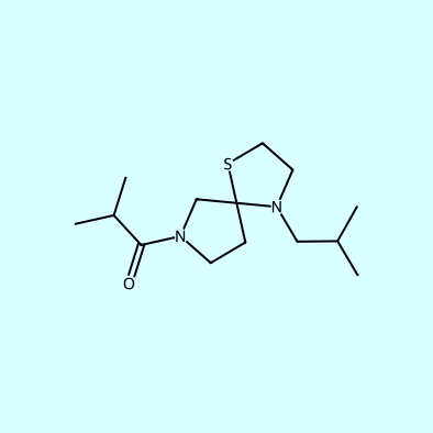 CC(C)CN1CCSC12CCN(C(=O)C(C)C)C2